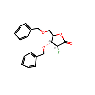 O=C1OC(COCc2ccccc2)[C@@H](OCc2ccccc2)[C@H]1F